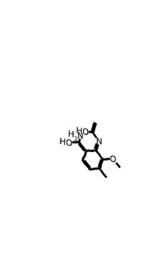 C=C(O)/N=C1/C(OC)=C(C)C=C/C1=C(/N)O